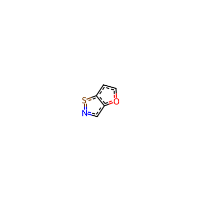 c1cc2sncc2o1